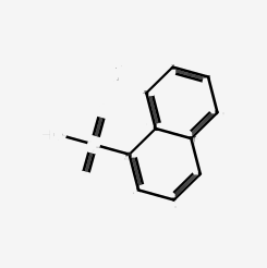 O=S(=O)(O)c1cccc2ccccc12.[Rb]